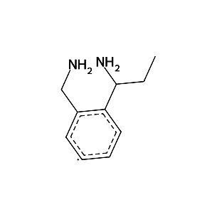 CCC(N)c1cc[c]cc1CN